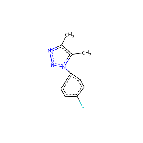 Cc1nnn(-c2ccc(F)cc2)c1C